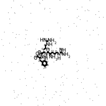 N=C(N)NCCC[C@H](NC(=O)[C@@H](N)CCCNC(=N)N)C(=O)N[C@@H](Cc1ccccc1)C(=O)O